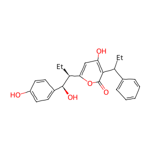 CCC(c1ccccc1)c1c(O)cc([C@H](CC)[C@@H](O)c2ccc(O)cc2)oc1=O